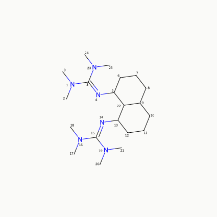 CN(C)C(=NC1CCCC2CCCC(N=C(N(C)C)N(C)C)C21)N(C)C